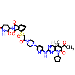 CC(=O)c1c(C)c2cnc(Nc3ccc(N4CCN(C(=O)C[S+]([O-])c5cccc6c5C(=O)N(C5CCC(=O)NC5=O)C6=O)CC4)cn3)nc2n(C2CCCC2)c1=O